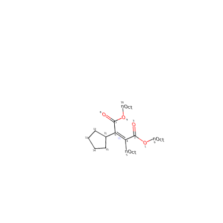 CCCCCCCCOC(=O)/C(CCCCCCCC)=C(\C(=O)OCCCCCCCC)C1CCCC1